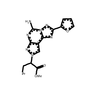 COC(=O)C(CC(C)C)n1cc2c(nc(N)n3nc(-c4ccco4)nc23)n1